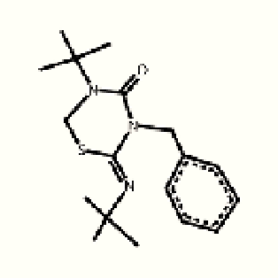 CC(C)(C)N=C1SCN(C(C)(C)C)C(=O)N1Cc1ccccc1